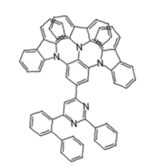 c1ccc(-c2nc(-c3cc(-n4c5ccccc5c5ccccc54)c(-n4c5ccccc5c5ccccc54)c(-n4c5ccccc5c5ccccc54)c3)cc(-c3ccccc3-c3ccccc3)n2)cc1